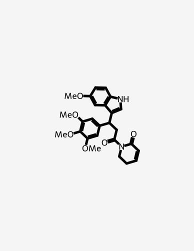 COc1ccc2[nH]cc(C(CC(=O)N3CCC=CC3=O)c3cc(OC)c(OC)c(OC)c3)c2c1